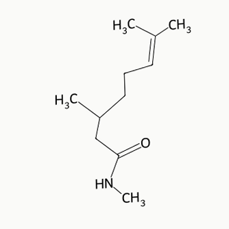 CNC(=O)CC(C)CCC=C(C)C